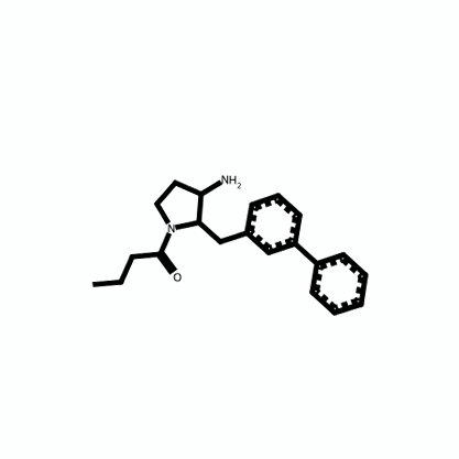 CCCC(=O)N1CCC(N)C1Cc1cccc(-c2ccccc2)c1